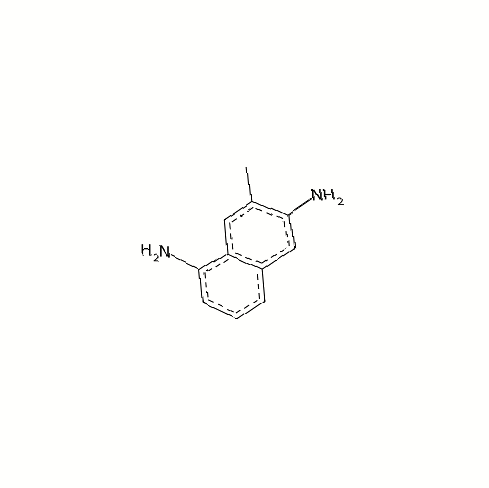 Cc1cc2c(N)cccc2cc1N